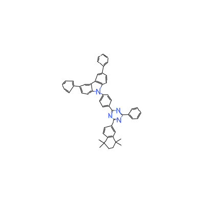 CC1(C)CCC(C)(C)c2cc(-c3nc(-c4ccccc4)nc(-c4ccc(-n5c6ccc(-c7ccccc7)cc6c6cc(-c7ccccc7)ccc65)cc4)n3)ccc21